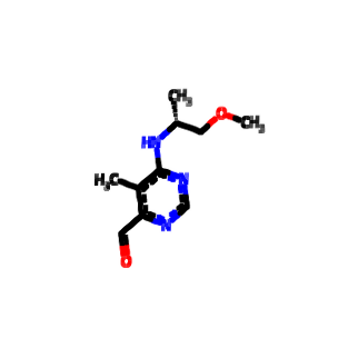 COC[C@@H](C)Nc1ncnc(C=O)c1C